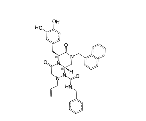 C=CCN1CC(=O)N2[C@@H](Cc3ccc(O)c(O)c3)C(=O)N(Cc3cccc4ccccc34)C[C@@H]2N1C(=O)NCc1ccccc1